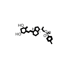 C=C1/C(=C\C=C2/CCC[C@]3(C)[C@@H](C(C)COS(=O)(=O)c4ccc(C)cc4)CC[C@@H]23)C[C@@H](O)C[C@@H]1O